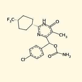 Cc1c(C(OC(N)=O)c2ccc(Cl)cc2)nc([C@H]2CC[C@@H](C(F)(F)F)CC2)[nH]c1=O